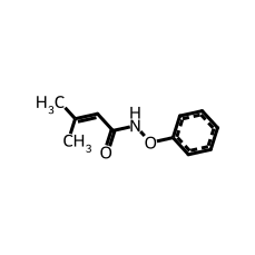 CC(C)=CC(=O)NOc1ccccc1